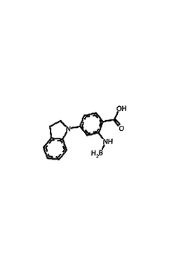 BNc1cc(N2CCc3ccccc32)ccc1C(=O)O